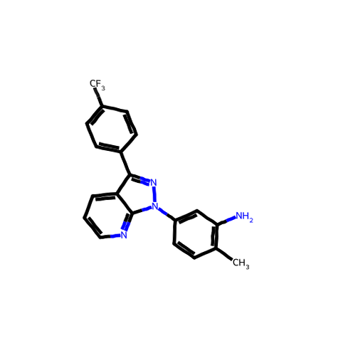 Cc1ccc(-n2nc(-c3ccc(C(F)(F)F)cc3)c3cccnc32)cc1N